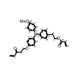 C=CC(=O)CCOc1ccc(N(c2ccc(CCOC(=O)C=C)cc2)c2ccc(OC)cc2)cc1